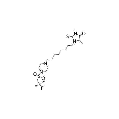 CC1C(=O)N(C)C(=S)N1CCCCCCCCN1CCN(S(=O)(=O)CC(F)(F)F)CC1